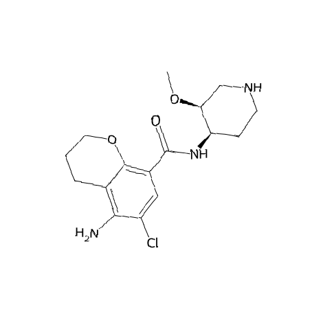 CO[C@H]1CNCC[C@H]1NC(=O)c1cc(Cl)c(N)c2c1OCCC2